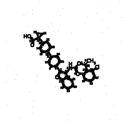 C[C@@H](OC(=O)Nc1c(-c2ccc(-c3ccc(C4(C(=O)O)CC4)cc3)cc2)oc2ccccc12)c1ccccc1Cl